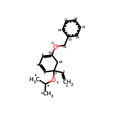 C=CC1(OC(C)C)C=CC=C(OCc2ccccc2)C1